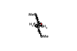 COCCCCOCCOc1ccc(C)cc1-c1cc(C)ccc1OCCCOCCCOC